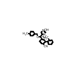 Cc1ccc(COC(c2ccc(C#N)c(-c3ccccc3C)c2)c2cncn2C)cc1.Cl